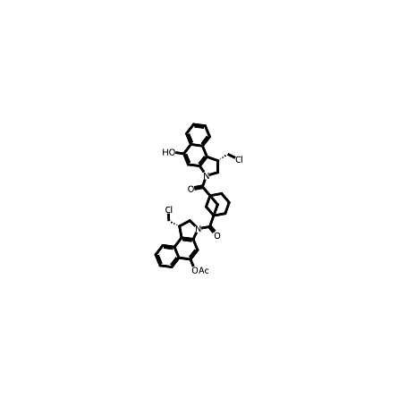 CC(=O)Oc1cc2c(c3ccccc13)[C@H](CCl)CN2C(=O)C12CCCC(C(=O)N3C[C@@H](CCl)c4c3cc(O)c3ccccc43)(C1)C2